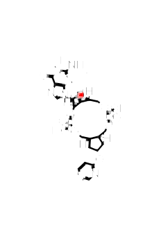 Nc1nc2c(ncn2[C@@H]2O[C@@H]3COP(=O)(O)OC[C@H]4C[C@H](Oc5ccncn5)C[C@@H]4COP(=O)(O)O[C@@H]2[C@@H]3O)c(=O)[nH]1